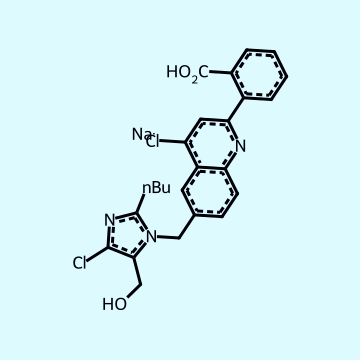 CCCCc1nc(Cl)c(CO)n1Cc1ccc2nc(-c3ccccc3C(=O)O)cc(Cl)c2c1.[Na]